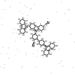 N#Cc1ccc2c(c1)c1ccc(-n3c4ccccc4c4ccccc43)cc1n2-c1ccc(C#N)c(-c2ccc(-n3c4ccccc4c4ccccc43)cc2)c1